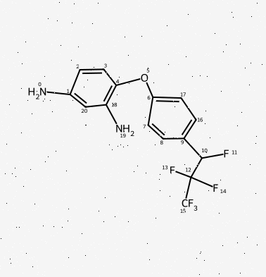 Nc1ccc(Oc2ccc(C(F)C(F)(F)C(F)(F)F)cc2)c(N)c1